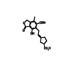 COc1c(C)c2c(c(O)c1C/C=C1\CCC(C(=O)O)C1)C(=O)OC2